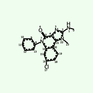 CNc1nc2c(=O)n(-c3ccccc3)c3cc(Cl)ccc3c2n1C